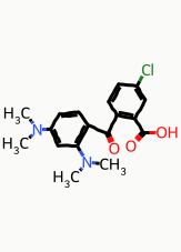 CN(C)c1ccc(C(=O)c2ccc(Cl)cc2C(=O)O)c(N(C)C)c1